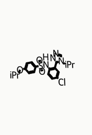 CC(C)Oc1ccc(S(=O)(=O)Nc2ccc(Cl)cc2-c2nncn2C(C)C)cc1